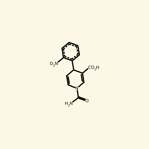 NC(=O)N1C=CC(c2ccccc2[N+](=O)[O-])C(C(=O)O)=C1